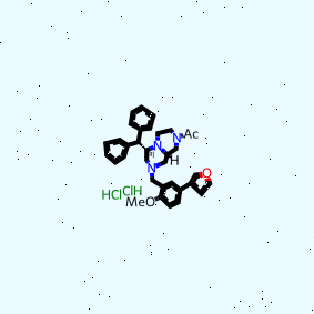 COc1ccc(-c2ccoc2)cc1CN1C[C@@H]2CN(C(C)=O)CCN2[C@H](C(c2ccccc2)c2ccccc2)C1.Cl.Cl